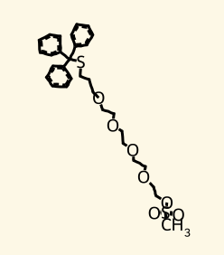 CS(=O)(=O)OCCOCCOCCOCCOCCCSC(c1ccccc1)(c1ccccc1)c1ccccc1